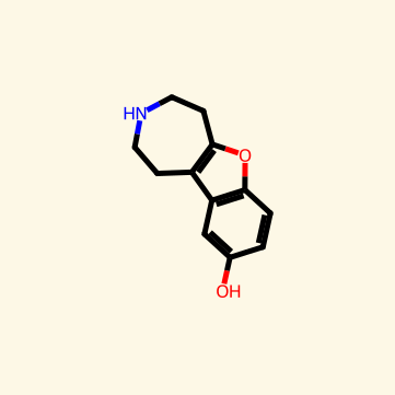 Oc1ccc2oc3c(c2c1)CCNCC3